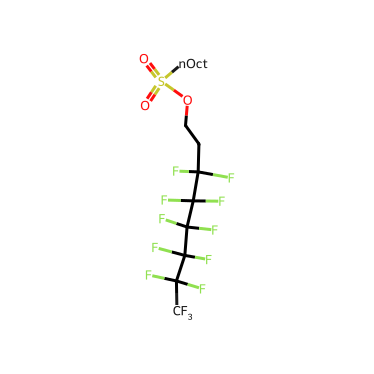 CCCCCCCCS(=O)(=O)OCCC(F)(F)C(F)(F)C(F)(F)C(F)(F)C(F)(F)C(F)(F)F